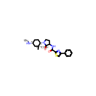 CC(C)(C)N[C@@H]1CC[C@H](N2CCC(NC(=O)c3nc(-c4ccccc4)cs3)C2=O)[C@](C)(C(=O)O)C1